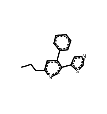 CCCc1cc(-c2ccccc2)c(-c2cncs2)[c]n1